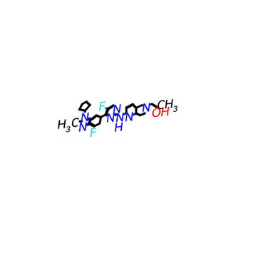 Cc1nc2c(n1C1CCCC1)=CC(c1nc(NC3=NC4CCN(CC(C)O)CC4C=C3)ncc1F)CC=2F